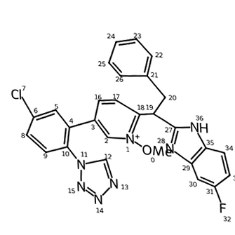 CO[n+]1cc(-c2cc(Cl)ccc2-n2cnnn2)ccc1C(Cc1ccccc1)c1nc2cc(F)ccc2[nH]1